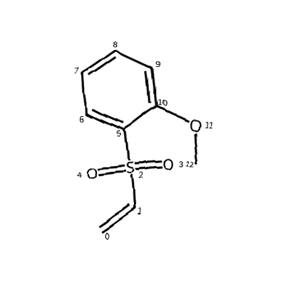 C=CS(=O)(=O)c1ccccc1OC